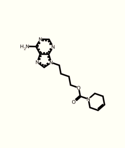 Nc1ncnc2c1ncn2CCCCOC(=O)N1CC=CCC1